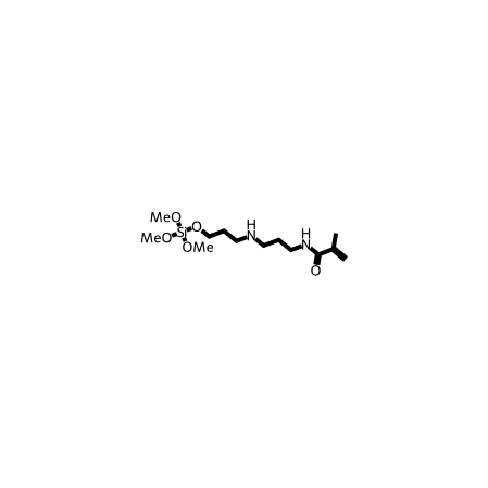 C=C(C)C(=O)NCCCNCCCO[Si](OC)(OC)OC